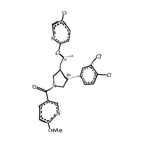 COc1ccc(C(=O)N2CC([C@@H](C)Oc3ccc(Cl)cn3)[C@H](c3ccc(Cl)c(Cl)c3)C2)cn1